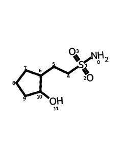 NS(=O)(=O)C[CH]C1CCCC1O